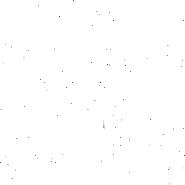 CC(C[C@H](Cc1ccc(OP(=O)(O)O)c(N)c1)NC(=O)OC(C)(C)C)C(=O)O